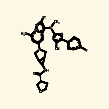 CCc1nn2c(C)cc(N3CC4C(C3)C4NC(=O)[C@H]3CCOC3)cc2c1N(C)c1nc(-c2ccc(F)cc2)c(C#N)s1